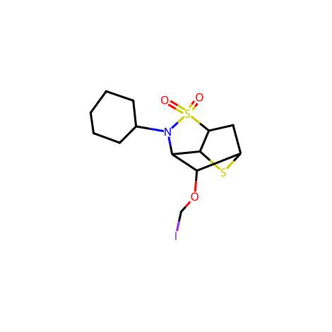 O=S1(=O)C2CC3SC2C(C3OCI)N1C1CCCCC1